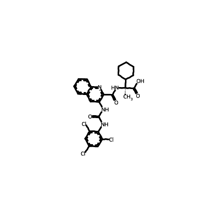 C[C@@](NC(=O)c1nc2ccccc2cc1NC(=O)Nc1c(Cl)cc(Cl)cc1Cl)(C(=O)O)C1CCCCC1